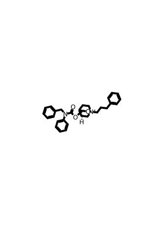 O=C(O[C@@H]1C[N+]2(CCCc3ccccc3)CCC1CC2)N(Cc1ccccc1)c1ccccc1